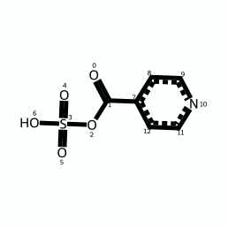 O=C(OS(=O)(=O)O)c1ccncc1